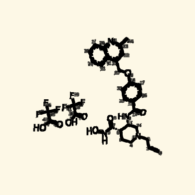 C=CCN1CC[C@H](C(=O)NO)[C@H](NC(=O)c2ccc(OCc3cc(C)nc4ccccc34)cc2)C1.O=C(O)C(F)(F)F.O=C(O)C(F)(F)F